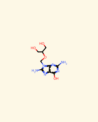 Nc1nc(O)c2nc(N)n(COC(CO)CO)c2n1